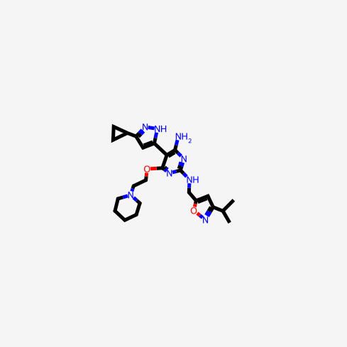 CC(C)c1cc(CNc2nc(N)c(-c3cc(C4CC4)n[nH]3)c(OCCN3CCCCC3)n2)on1